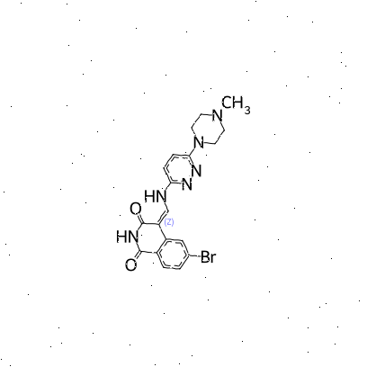 CN1CCN(c2ccc(N/C=C3\C(=O)NC(=O)c4ccc(Br)cc43)nn2)CC1